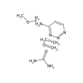 C=C.C=O.COC.NC(N)=O.Nc1ccnnn1